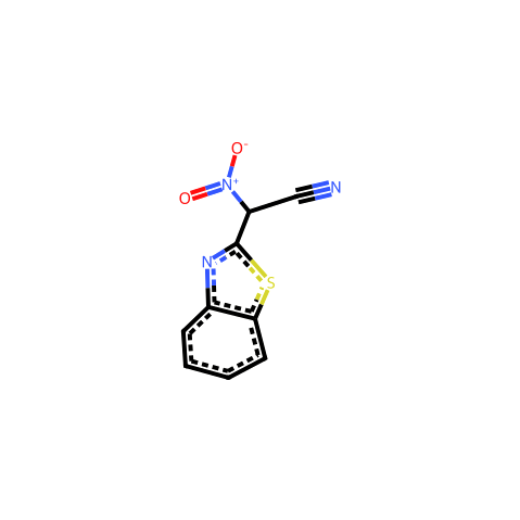 N#CC(c1nc2ccccc2s1)[N+](=O)[O-]